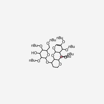 CCCCOCC1OCCC(OC2OC(COCCCC)C(OCCCC)C(O)C2OCCCC)C1OC1OC=C(OCCCC)C(OCCCC)C1OCCCC